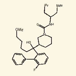 CNCC(CC(C)C)NC(=O)N1CCCC(C(O)(CCCCOC)c2cccc(F)c2-c2ccccc2)C1